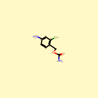 NC(=O)OCc1ccc(N)cc1Cl